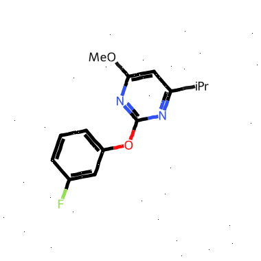 COc1cc(C(C)C)nc(Oc2cccc(F)c2)n1